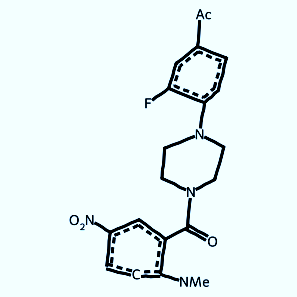 CNc1ccc([N+](=O)[O-])cc1C(=O)N1CCN(c2ccc(C(C)=O)cc2F)CC1